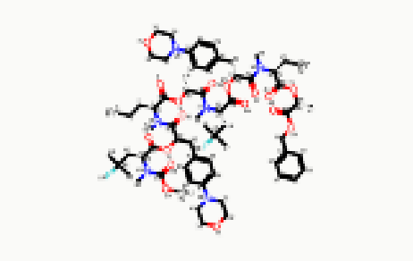 CC(C)CC[C@@H](C(=O)O[C@H](C)C(=O)N(C)[C@@H](CC(C)(C)F)C(=O)O[C@H](Cc1ccc(N2CCOCC2)cc1)C(=O)N(C)[C@@H](CC(C)C)C(=O)O[C@H](C)C(=O)OCc1ccccc1)N(C)C(=O)C(Cc1ccc(N2CCOCC2)cc1)OC(=O)[C@H](CC(C)(C)F)N(C)C(=O)OC(C)(C)C